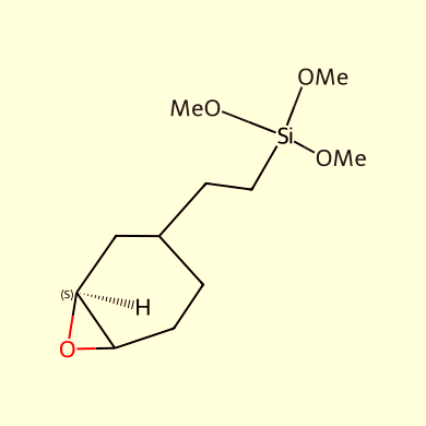 CO[Si](CCC1CCC2O[C@H]2C1)(OC)OC